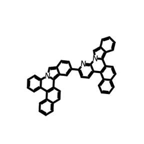 c1ccc2c(c1)ccc1c2c2ccccc2n2cc3ccc(-c4ccc5c6c7ccccc7ccc6c6c7ccccc7cn6c5n4)cc3c12